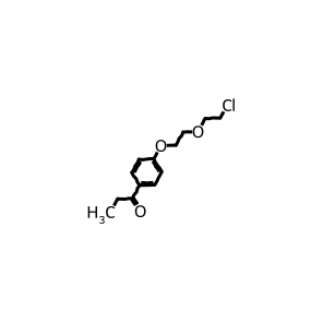 CCC(=O)c1ccc(OCCOCCCl)cc1